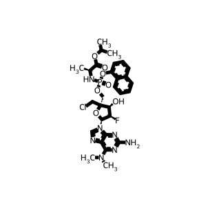 CC(C)OC(=O)[C@H](C)NP(=O)(OC[C@@]1(CCl)O[C@@H](n2cnc3c(N(C)C)nc(N)nc32)[C@H](F)[C@@H]1O)Oc1cccc2ccccc12